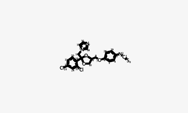 S=C=Nc1ccc(OCC2COC(Cn3ccnc3)(c3ccc(Cl)cc3Cl)O2)cc1